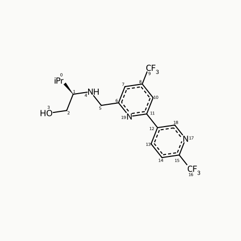 CC(C)[C@H](CO)NCc1cc(C(F)(F)F)cc(-c2ccc(C(F)(F)F)nc2)n1